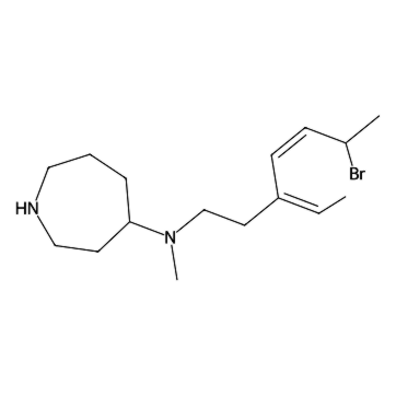 C/C=C(\C=C/C(C)Br)CCN(C)C1CCCNCC1